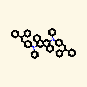 C(=C(c1ccccc1)c1ccccc1)c1ccc(N(c2ccccc2)c2cc3c4ccccc4c(N(c4ccccc4)c4ccc(C=C(c5ccccc5)c5ccccc5)cc4)cc3c3ccccc23)cc1